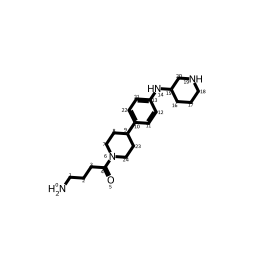 NCCCC(=O)N1CCC(c2ccc(NC3CCCNC3)cc2)CC1